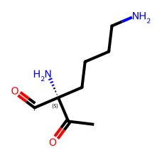 CC(=O)[C@@](N)([C]=O)CCCCN